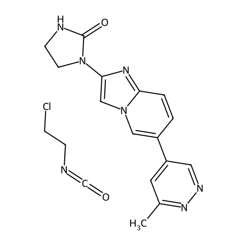 Cc1cc(-c2ccc3nc(N4CCNC4=O)cn3c2)cnn1.O=C=NCCCl